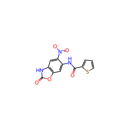 O=C(Nc1cc2oc(=O)[nH]c2cc1[N+](=O)[O-])c1cccs1